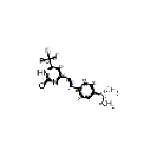 CN(C)c1ccc(/C=C/c2cc(C(F)(F)F)[nH]c(=O)n2)cc1